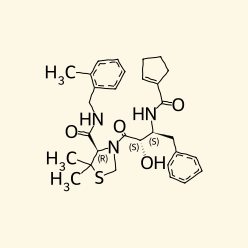 Cc1ccccc1CNC(=O)[C@H]1N(C(=O)[C@@H](O)[C@H](Cc2ccccc2)NC(=O)C2=CCCC2)CSC1(C)C